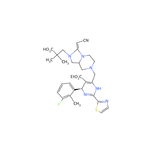 CCOC(=O)C1=C(CN2CCN3/C(=C\C#N)N(CC(C)(C)C(=O)O)CC3C2)NC(c2nccs2)=N[C@H]1c1cccc(F)c1C